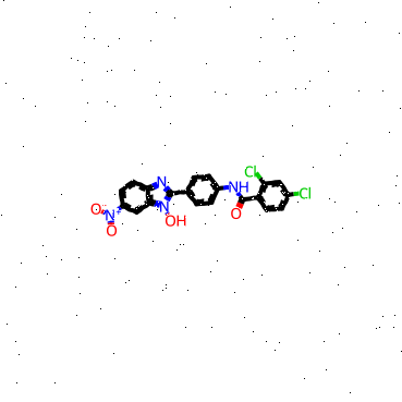 O=C(Nc1ccc(-c2nc3ccc([N+](=O)[O-])cc3n2O)cc1)c1ccc(Cl)cc1Cl